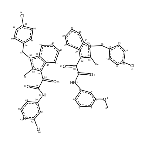 COc1cccc(NC(=O)C(=O)c2c(C)n(Cc3ccc(Cl)cc3)c3ccccc23)c1.Cc1c(C(=O)C(=O)Nc2ccnc(Cl)c2)c2ccccc2n1Cc1ccc(Cl)cc1